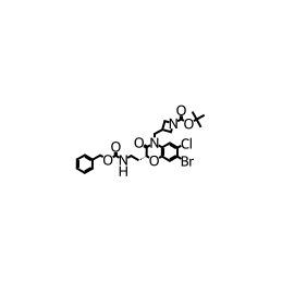 CC(C)(C)OC(=O)N1CC(CN2C(=O)[C@@H](CCNC(=O)OCc3ccccc3)Oc3cc(Br)c(Cl)cc32)C1